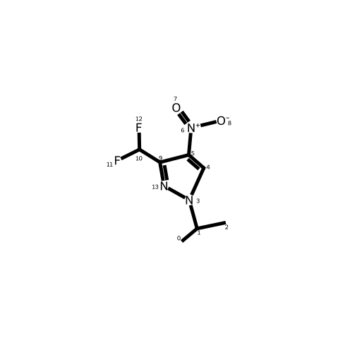 CC(C)n1cc([N+](=O)[O-])c(C(F)F)n1